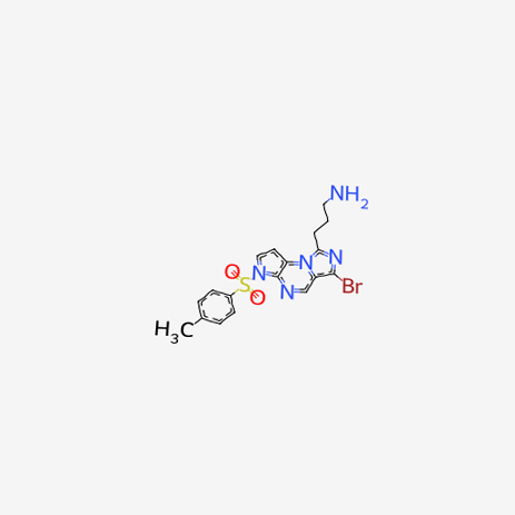 Cc1ccc(S(=O)(=O)n2ccc3c2ncc2c(Br)nc(CCCN)n23)cc1